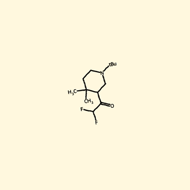 CC1(C)CCN(C(C)(C)C)CC1C(=O)C(F)F